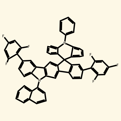 Fc1cc(F)c(-c2ccc3c(c2)C2(c4cc5c6cc(-c7c(F)cc(F)cc7F)ccc6n(-c6cccc7ccccc67)c5cc4-3)c3ccccc3N(c3ccccc3)c3ccccc32)c(F)c1